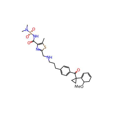 COC1CC=CC=C1C1(C(=O)c2ccc(CCCNCc3nc(C(=O)NS(=O)(=O)N(C)C)c(C)s3)cc2)CC1